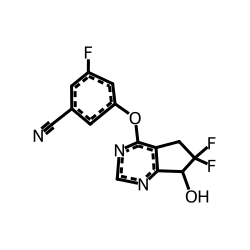 N#Cc1cc(F)cc(Oc2ncnc3c2CC(F)(F)C3O)c1